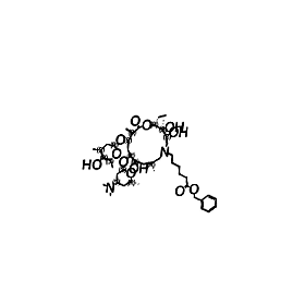 CC[C@H]1OC(=O)[C@H](C)[C@@H](O[C@H]2C[C@H](C)[C@@H](O)[C@H](C)O2)C[C@@H](O[C@H]2C[C@@H](N(C)C)C[C@@H](C)O2)[C@H](O)C[C@@H](C)CN(CCCCCC(=O)OCc2ccccc2)C[C@@H](O)[C@]1(C)O